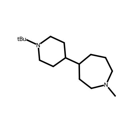 CN1CCCC(C2CCN(C(C)(C)C)CC2)CC1